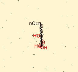 CCCCCCCC/C=C\CCCCCCCCCCCCCC(=O)[CH]CC(O)O.[OH]